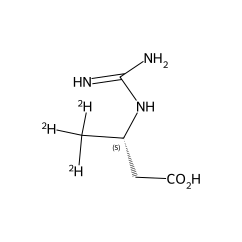 [2H]C([2H])([2H])[C@@H](CC(=O)O)NC(=N)N